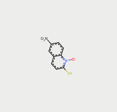 O=[N+]([O-])c1ccc2c(ccc(S)[n+]2[O-])c1